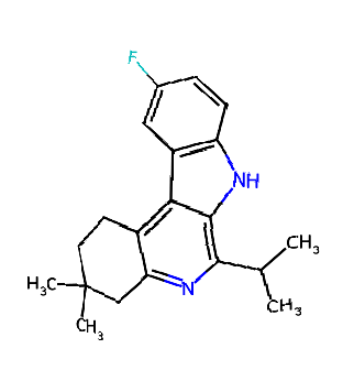 CC(C)c1nc2c(c3c1[nH]c1ccc(F)cc13)CCC(C)(C)C2